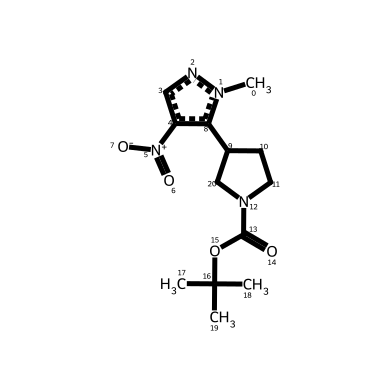 Cn1ncc([N+](=O)[O-])c1C1CCN(C(=O)OC(C)(C)C)C1